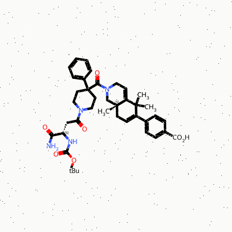 CC(C)(C)OC(=O)N[C@@H](CC(=O)N1CCC(C(=O)N2CC=C3C(C)(C)C(c4ccc(C(=O)O)cc4)=CC[C@]3(C)C2)(c2ccccc2)CC1)C(N)=O